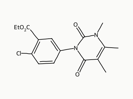 CCOC(=O)c1cc(-n2c(=O)c(C)c(C)n(C)c2=O)ccc1Cl